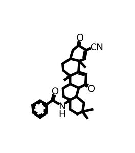 CC1(C)CCC2(NC(=O)c3ccccc3)CCC3C(C(=O)C=C4C5(C)C=C(C#N)C(=O)CC5CCC43C)C2C1